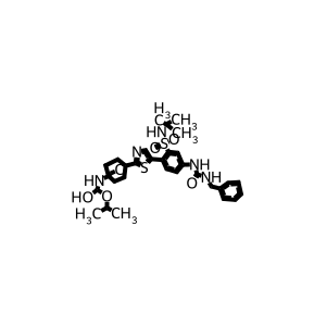 CC(C)OC(O)NC12CCC(c3ncc(-c4ccc(NC(=O)NCc5ccccc5)cc4S(=O)(=O)NC(C)(C)C)s3)(CC1)CC2